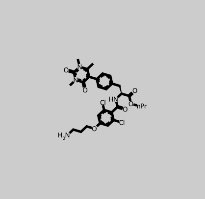 CCCOC(=O)[C@H](Cc1ccc(-c2c(C)n(C)c(=O)n(C)c2=O)cc1)NC(=O)c1c(Cl)cc(OCCCN)cc1Cl